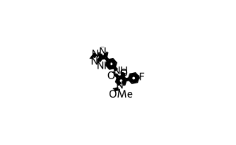 COCCn1cc(C(=O)Nc2ccc(-c3cn(C)c4ncnc(N)c34)cc2)c(=O)c(-c2ccc(F)cc2)c1